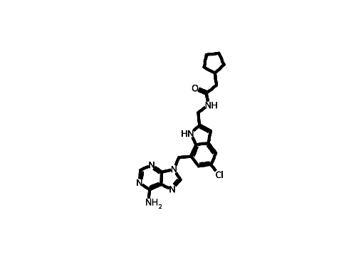 Nc1ncnc2c1ncn2Cc1cc(Cl)cc2cc(CNC(=O)CC3CCCC3)[nH]c12